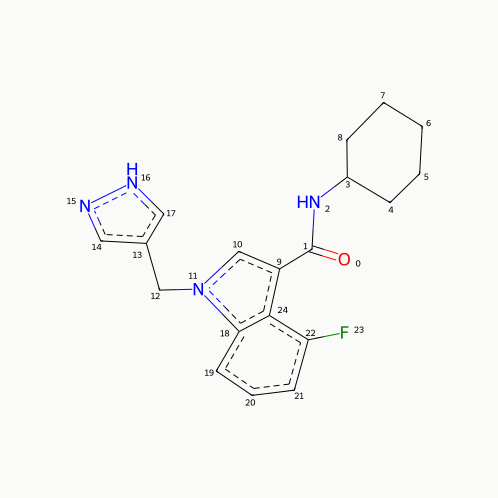 O=C(NC1CCCCC1)c1cn(Cc2cn[nH]c2)c2cccc(F)c12